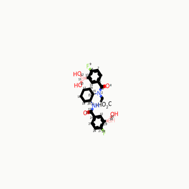 O=C(O)CN(C(=O)c1ccc(F)c(B(O)O)c1)[C@H]1CCCC[C@H]1NC(=O)c1ccc(F)c(BO)c1